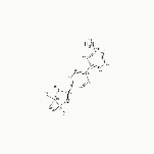 CC1(C)OB(c2ccc(-c3cccc(N)c3)cc2)OC1(C)C